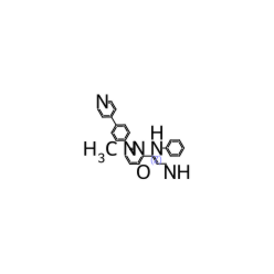 Cc1cc(-c2ccncc2)ccc1-n1ccc(=O)c(/C(=C/C=N)Nc2ccccc2)n1